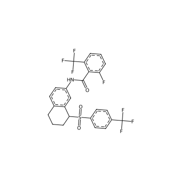 O=C(Nc1ccc2c(c1)C(S(=O)(=O)c1ccc(C(F)(F)F)cc1)CCC2)c1c(F)cccc1C(F)(F)F